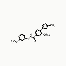 COc1cc(C(=O)NCc2cccc(OC(F)(F)F)c2)ccc1-n1cnc(C)c1